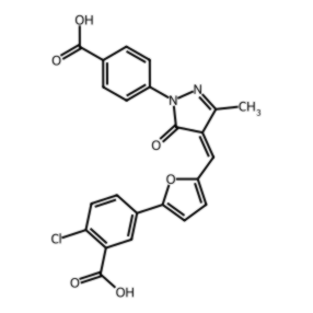 CC1=NN(c2ccc(C(=O)O)cc2)C(=O)/C1=C\c1ccc(-c2ccc(Cl)c(C(=O)O)c2)o1